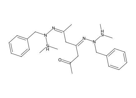 CC(=O)CC(CC(C)=NN(Cc1ccccc1)[SiH](C)C)=NN(Cc1ccccc1)[SiH](C)C